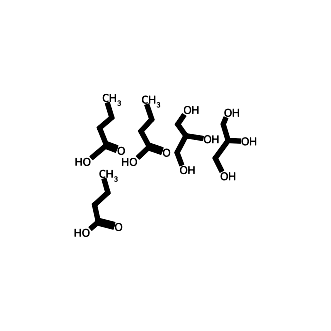 CCCC(=O)O.CCCC(=O)O.CCCC(=O)O.OCC(O)CO.OCC(O)CO